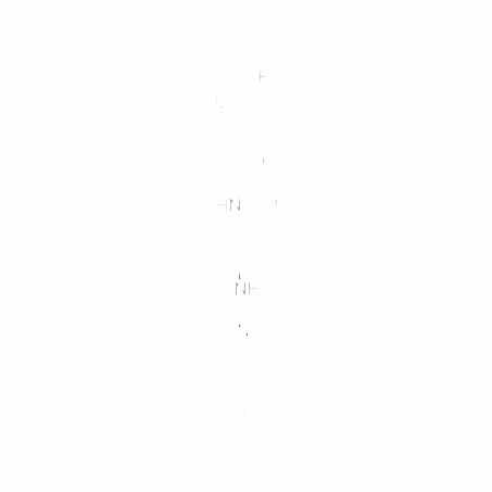 O=C(COc1ccc(F)c(Cl)c1)N[C@H]1CC[C@H](NCc2ccc3cc(Cl)ccc3n2)CC1